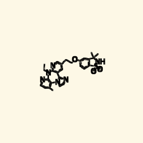 CCN1c2ncc(CCOc3ccc4c(c3)C(C)(C)NS4(=O)=O)cc2-c2nccn2-c2c(C)ccnc21